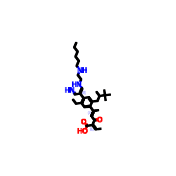 C/C=C(/C(=O)O)C(=O)/C=C(\C)c1cc(CC)c(/C(C=N)=C/NCCNCCCCCC)cc1CC(C)C(C)(C)C